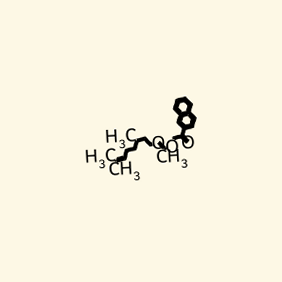 CC(C)=CCCC(C)CCOC(C)OCC(=O)c1ccc2ccccc2c1